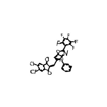 O=C1C(=Cc2cc3oc(-c4c(F)c(F)c(F)c(F)c4F)nc3n2-c2ccccc2)C(=O)c2cc(Cl)c(Cl)cc21